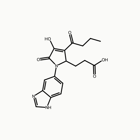 CCCC(=O)C1=C(O)C(=O)N(c2ccc3[nH]cnc3c2)C1CCC(=O)O